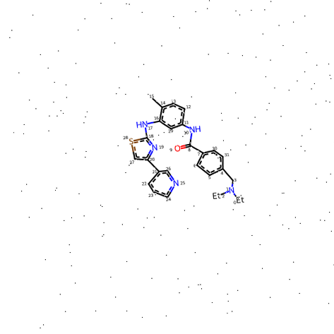 CCN(CC)Cc1ccc(C(=O)Nc2ccc(C)c(Nc3nc(-c4cccnc4)cs3)c2)cc1